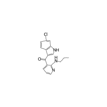 CCCNc1ncccc1C(=O)c1c[nH]c2cc(Cl)ccc12